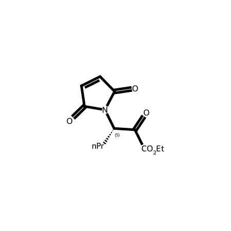 CCC[C@@H](C(=O)C(=O)OCC)N1C(=O)C=CC1=O